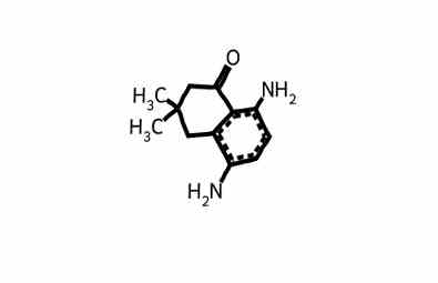 CC1(C)CC(=O)c2c(N)ccc(N)c2C1